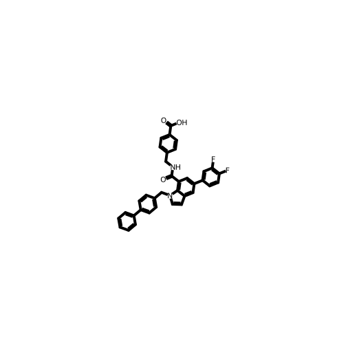 O=C(O)c1ccc(CNC(=O)c2cc(-c3ccc(F)c(F)c3)cc3ccn(Cc4ccc(-c5ccccc5)cc4)c23)cc1